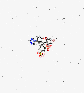 O=S(=O)([O-])c1cc(S(=O)(=O)O)ccc1-c1c2ccc(Br)cc2[o+]c2ccc(-n3cncn3)cc12